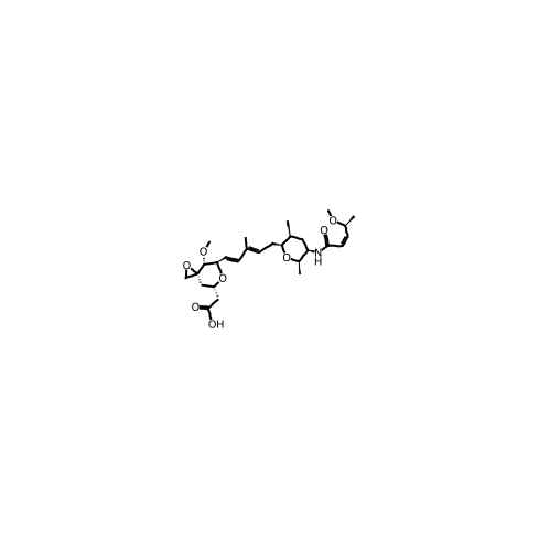 CO[C@@H]1[C@@H](/C=C/C(C)=C/C[C@@H]2O[C@H](C)[C@H](NC(=O)/C=C\[C@H](C)OC)C[C@@H]2C)O[C@H](CC(=O)O)C[C@@]12CO2